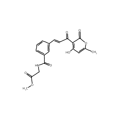 COC(=O)CNC(=O)c1cccc(C=CC(=O)c2c(O)cc(C)oc2=O)c1